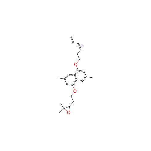 C=C/C=C\CCOc1cc(C)cc2c(OCCC3OC3(C)C)cc(C)cc12